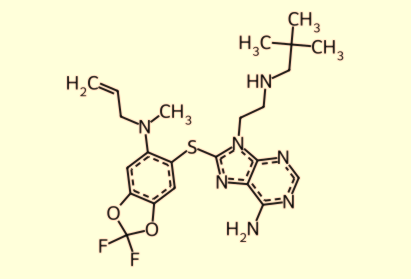 C=CCN(C)c1cc2c(cc1Sc1nc3c(N)ncnc3n1CCNCC(C)(C)C)OC(F)(F)O2